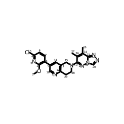 COc1nc(Cl)ccc1-c1cnc2c(c1)CN(c1nn3cnnc3c(C)c1C)CC2